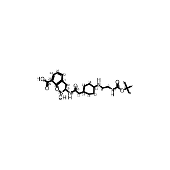 CC(C)(C)OC(=O)NCCNC1CCC(CC(=O)NC2Cc3cccc(C(=O)O)c3OB2O)CC1